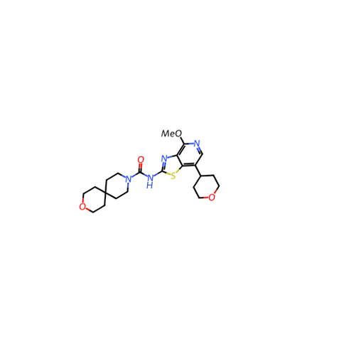 COc1ncc(C2CCOCC2)c2sc(NC(=O)N3CCC4(CCOCC4)CC3)nc12